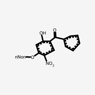 CCCCCCCCCOc1cc(O)c(C(=O)c2ccccc2)cc1[N+](=O)[O-]